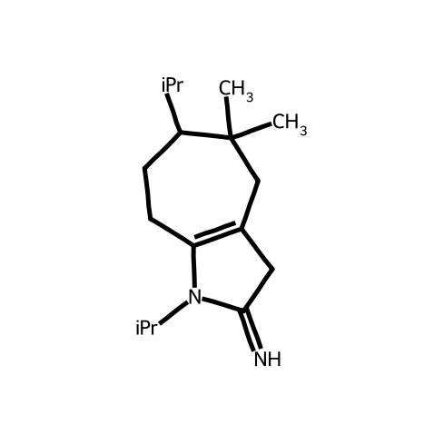 CC(C)C1CCC2=C(CC(=N)N2C(C)C)CC1(C)C